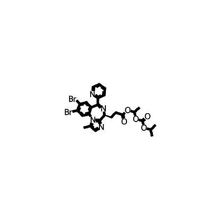 Cc1cnc2n1-c1cc(Br)c(Br)cc1C(c1ccccn1)=N[C@H]2CCC(=O)OC(C)OC(=O)OC(C)C